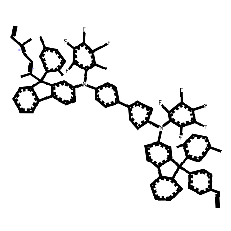 C=C/C(C)=C/C=C(\C)C1(c2cc(C)ccc2C)c2ccccc2-c2ccc(N(c3ccc(-c4ccc(N(c5ccc6c(c5)C(c5ccc(C=C)cc5)(c5cc(C)ccc5C)c5ccccc5-6)c5c(F)c(F)c(F)c(F)c5F)cc4)cc3)c3c(C)c(F)c(F)c(F)c3F)cc21